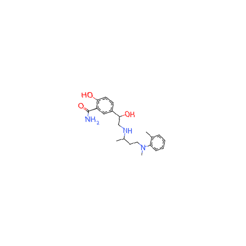 Cc1ccccc1N(C)CCC(C)NCC(O)c1ccc(O)c(C(N)=O)c1